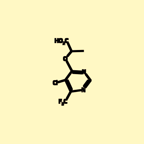 CC(Oc1ncnc(C(F)(F)F)c1Cl)C(=O)O